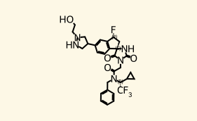 O=C1N[C@]2(C[C@@H](F)c3cc(C4CNN(CCO)C4)ccc32)C(=O)N1CC(=O)N(Cc1ccccc1)[C@H](C1CC1)C(F)(F)F